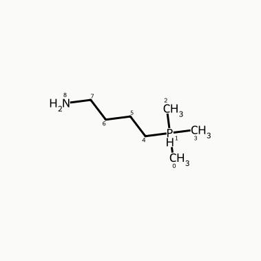 C[PH](C)(C)CCCCN